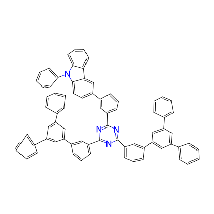 c1ccc(-c2cc(-c3ccccc3)cc(-c3cccc(-c4nc(-c5cccc(-c6cc(-c7ccccc7)cc(-c7ccccc7)c6)c5)nc(-c5cccc(-c6ccc7c(c6)c6ccccc6n7-c6ccccc6)c5)n4)c3)c2)cc1